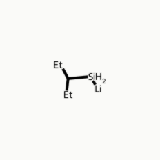 [Li][SiH2]C(CC)CC